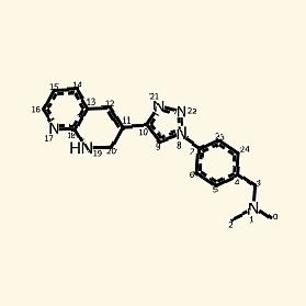 CN(C)Cc1ccc(-n2cc(C3=Cc4cccnc4NC3)nn2)cc1